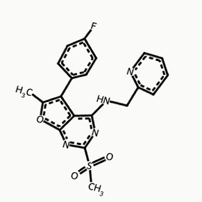 Cc1oc2nc(S(C)(=O)=O)nc(NCc3ccccn3)c2c1-c1ccc(F)cc1